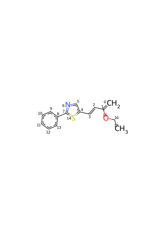 C=C(/C=C/c1cnc(-c2ccccc2)s1)OCC